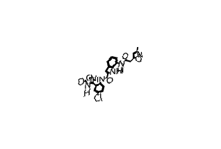 Cc1cc(CC(=O)Nc2cccc3cc(C(=O)Nc4ccc(Cl)cc4-c4noc(=O)[nH]4)[nH]c23)on1